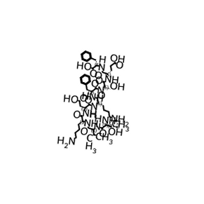 CC(C)[C@H](NC(=O)[C@@H](N)[C@@H](C)O)C(=O)N[C@@H](CCCCN)C(=O)N[C@@H](CC(=O)O)C(=O)N[C@@H](CCCCN)C(=O)N[C@@H](Cc1ccccc1)C(=O)N[C@@H](CO)C(=O)N[C@@H](CCC(=O)O)C(=O)N[C@@H](Cc1ccccc1)C(=O)O